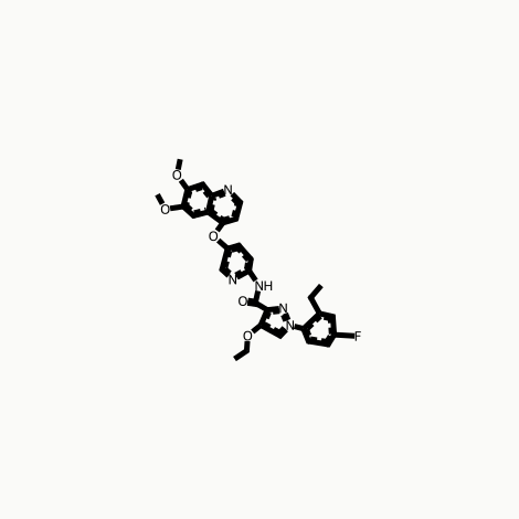 CCOc1cn(-c2ccc(F)cc2CC)nc1C(=O)Nc1ccc(Oc2ccnc3cc(OC)c(OC)cc23)cn1